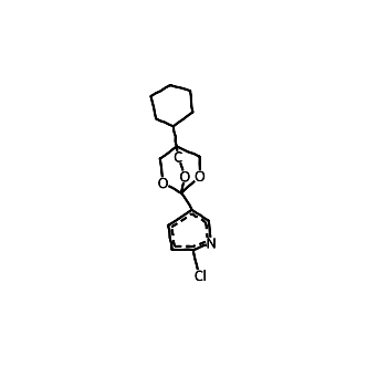 Clc1ccc(C23OCC(C4CCCCC4)(CO2)CO3)cn1